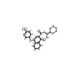 O=C1CN(C2CCCCC2)COc2c1cc(Cc1ccc(Cl)nc1)c1ccccc21